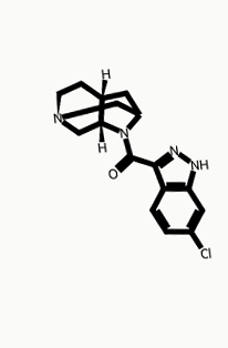 O=C(c1n[nH]c2cc(Cl)ccc12)N1C2C[C@H]3CC[N@@](C2)C[C@H]31